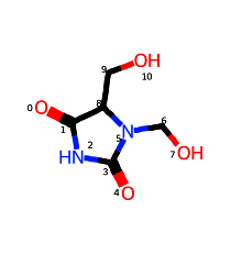 O=C1NC(=O)N(CO)C1CO